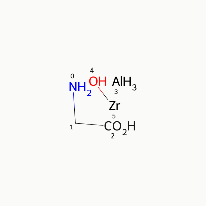 NCC(=O)O.[AlH3].[OH][Zr]